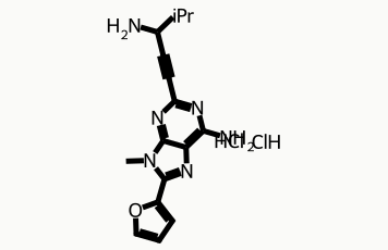 CC(C)C(N)C#Cc1nc(N)c2nc(-c3ccco3)n(C)c2n1.Cl.Cl